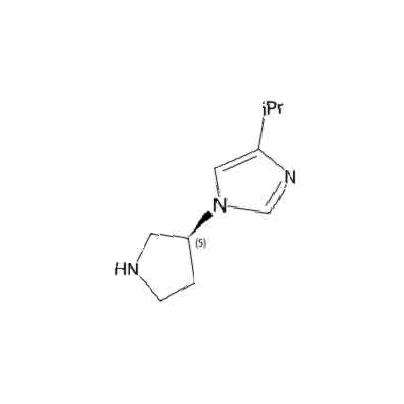 CC(C)c1cn([C@H]2CCNC2)cn1